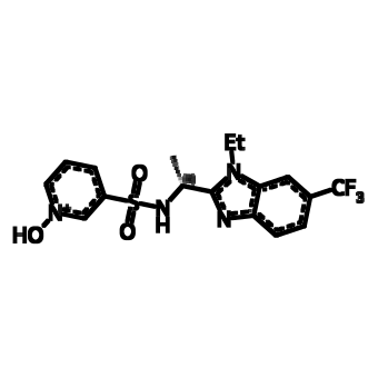 CCn1c([C@@H](C)NS(=O)(=O)c2ccc[n+](O)c2)nc2ccc(C(F)(F)F)cc21